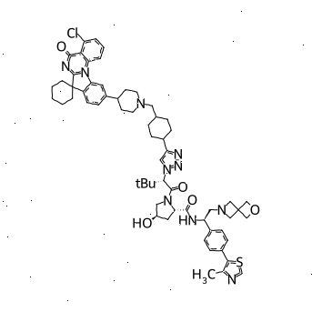 Cc1ncsc1-c1ccc([C@H](CN2CC3(COC3)C2)NC(=O)[C@@H]2C[C@@H](O)CN2C(=O)[C@@H](n2cc(C3CCC(CN4CCC(c5ccc6c(c5)-n5c(nc(=O)c7c(Cl)cccc75)C65CCCCC5)CC4)CC3)nn2)C(C)(C)C)cc1